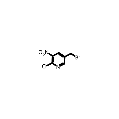 O=[N+]([O-])c1cc(CBr)cnc1Cl